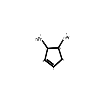 CCCC1C=CCC1CCC